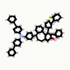 c1ccc(-c2ccc(N(c3ccc(-c4ccccc4)cc3)c3ccc(C4CCc5cc6oc7ccccc7c6c(-c6ccc7sc8ccccc8c7c6)c5-c5ccccc54)cc3)cc2)cc1